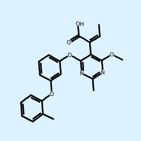 CC=C(C(=O)O)c1c(OC)nc(C)nc1Oc1cccc(Oc2ccccc2C)c1